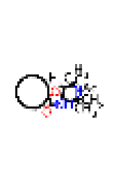 CC(=O)N1C(C)(C)CC2(CC1(C)C)NC(=O)C1(CCCCCCCCCCC1)O2